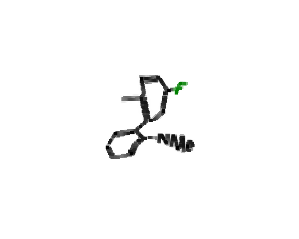 CNc1ccccc1-c1cc(F)ccc1C